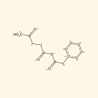 O=C(CCC(=O)C(=O)O)OC(=O)Cc1ccccc1